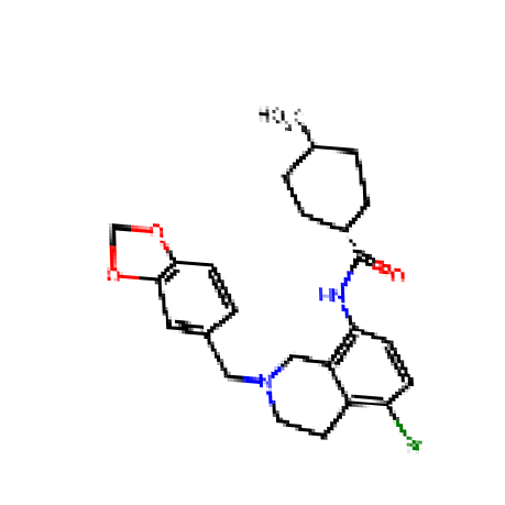 O=C(O)[C@H]1CC[C@H](C(=O)Nc2ccc(Br)c3c2CN(Cc2ccc4c(c2)OCO4)CC3)CC1